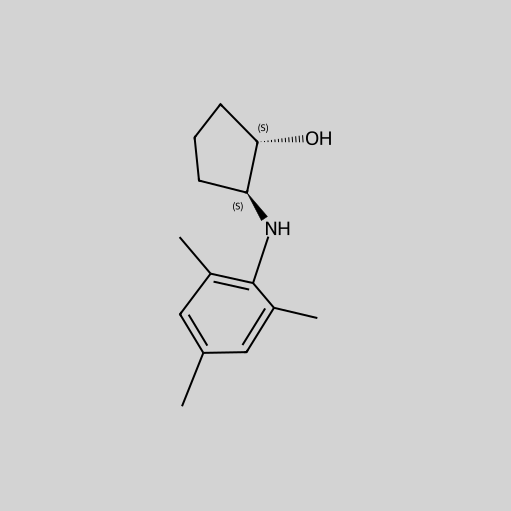 Cc1cc(C)c(N[C@H]2CCC[C@@H]2O)c(C)c1